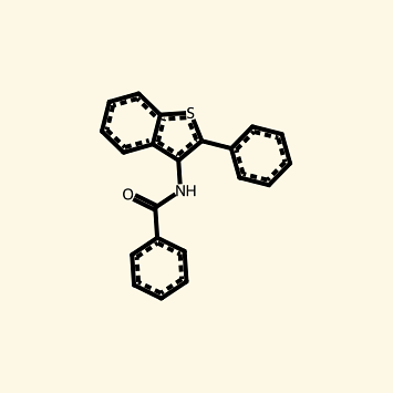 O=C(Nc1c(-c2ccccc2)sc2ccccc12)c1ccccc1